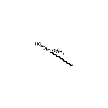 CCCCCCCCCCCCC(O)COCCOCCO.N.O